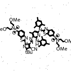 COCCN(CCOC)S(=O)(=O)c1ccc2nc(N(c3cc(C)c(N=Nc4c(C#N)c(C(C)(C)C)nn4-c4nc5ccc(S(=O)(=O)N(CCOC)CCOC)cc5s4)c(Nc4c(C)cc(C)cc4C)n3)c3c(C)cc(C)cc3C)sc2c1